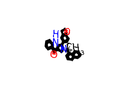 C[C@H](c1cccc2ccccc12)N1Cc2c([nH]c3ccccc3c2=O)C1c1ccc2c(c1)CCO2